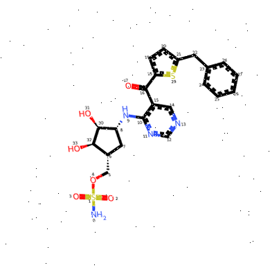 NS(=O)(=O)OC[C@H]1C[C@@H](Nc2ncncc2C(=O)c2ccc(Cc3ccccc3)s2)[C@H](O)[C@@H]1O